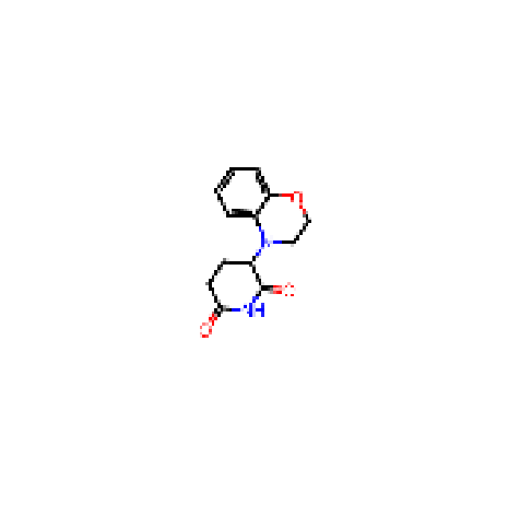 O=C1CCC(N2CCOc3ccccc32)C(=O)N1